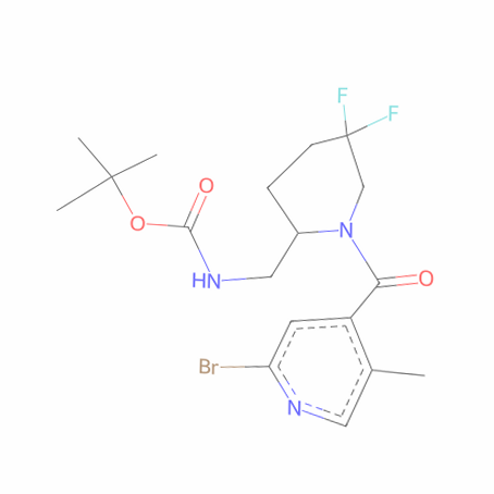 Cc1cnc(Br)cc1C(=O)N1CC(F)(F)CCC1CNC(=O)OC(C)(C)C